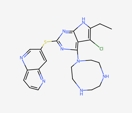 CCc1[nH]c2nc(Sc3cnc4cccnc4c3)nc(N3CCNCCNCC3)c2c1Cl